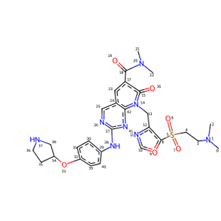 CN(C)CCS(=O)(=O)c1ocnc1Cn1c(=O)c(C(=O)N(C)C)cc2cnc(Nc3ccc(OC4CCNC4)cc3)nc21